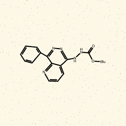 CC(C)(C)OC(=O)NNc1nnc(-c2ccccc2)c2ncccc12